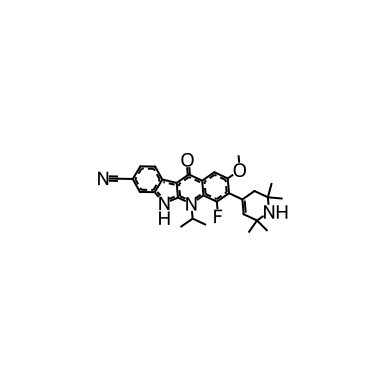 COc1cc2c(=O)c3c4ccc(C#N)cc4[nH]c3n(C(C)C)c2c(F)c1C1=CC(C)(C)NC(C)(C)C1